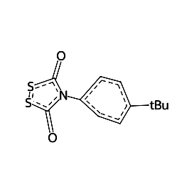 CC(C)(C)c1ccc(-n2c(=O)ssc2=O)cc1